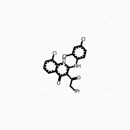 CC(C)CC(=O)c1c(Nc2ccc(Cl)cc2Cl)[nH]c2c(Cl)cccc2c1=O